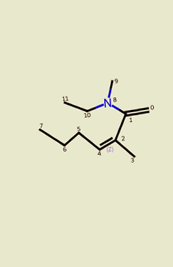 C=C(/C(C)=C\CCC)N(C)CC